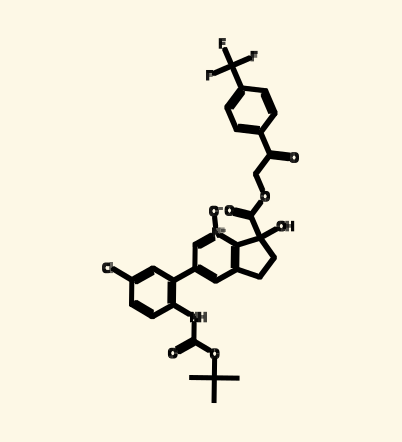 CC(C)(C)OC(=O)Nc1ccc(Cl)cc1-c1cc2c([n+]([O-])c1)C(O)(C(=O)OCC(=O)c1ccc(C(F)(F)F)cc1)CC2